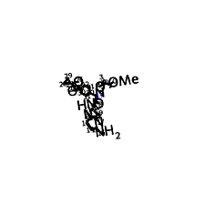 COC[C@@H](C)O/N=C(/C(=O)Nc1nc2ccc(N)nc2s1)c1ccc(S(=O)(=O)C2CC2)cc1